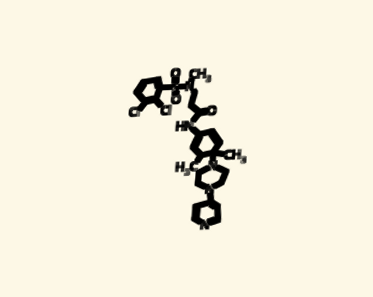 CC1C=C(NC(=O)CCN(C)S(=O)(=O)c2cccc(Cl)c2Cl)C=CC1(C)N1CCN(c2ccncc2)CC1